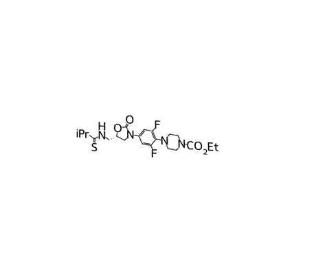 CCOC(=O)N1CCN(c2c(F)cc(N3C[C@H](CNC(=S)C(C)C)OC3=O)cc2F)CC1